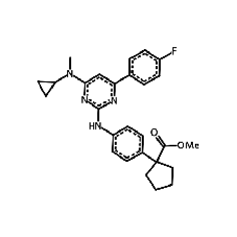 COC(=O)C1(c2ccc(Nc3nc(-c4ccc(F)cc4)cc(N(C)C4CC4)n3)cc2)CCCC1